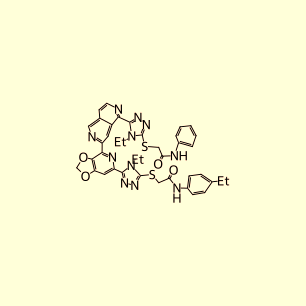 CCc1ccc(NC(=O)CSc2nnc(-c3cc4c(c(-c5cc6c(-c7nnc(SCC(=O)Nc8ccccc8)n7CC)nccc6cn5)n3)OCO4)n2CC)cc1